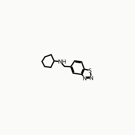 c1cc2snnc2cc1CNC1CCCCC1